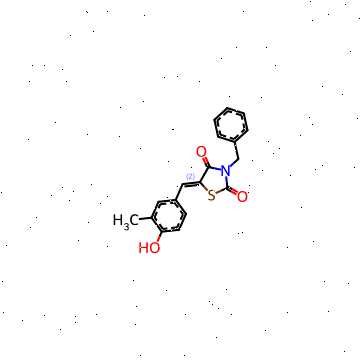 Cc1cc(/C=C2\SC(=O)N(Cc3ccccc3)C2=O)ccc1O